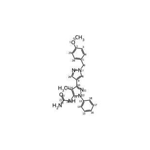 COc1ccc(Cn2cc(-c3nn(-c4ccccc4)c(NC(N)=O)c3C)cn2)cc1